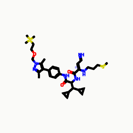 CSCCCN/C(=C\C=N)C(=O)NC(C(=O)Nc1ccc(-c2c(C)nn(COCCS(C)(C)C)c2C)cc1)C(C1CC1)C1CC1